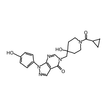 O=C(C1CC1)N1CCC(O)(Cn2cnc3c(cnn3-c3ccc(O)cc3)c2=O)CC1